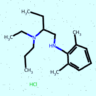 CCCN(CC)C(CC)CNc1c(C)cccc1C.Cl